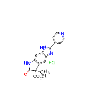 CCOC(=O)C1(C)C(=O)Nc2cc3[nH]c(-c4ccncc4)nc3cc21.Cl